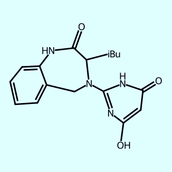 CCC(C)C1C(=O)Nc2ccccc2CN1c1nc(O)cc(=O)[nH]1